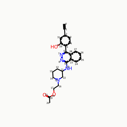 C#Cc1ccc(-c2nnc(NC3CCCN(CCOC(C)=O)C3)c3ccccc23)c(O)c1